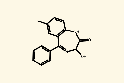 O=C1Nc2ccc(I)cc2C(c2ccccc2)=NC1O